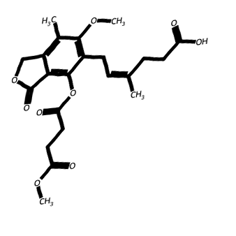 COC(=O)CCC(=O)Oc1c(CC=C(C)CCC(=O)O)c(OC)c(C)c2c1C(=O)OC2